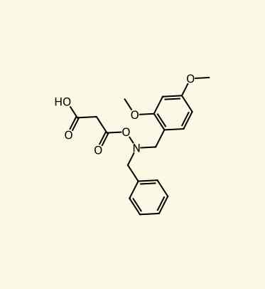 COc1ccc(CN(Cc2ccccc2)OC(=O)CC(=O)O)c(OC)c1